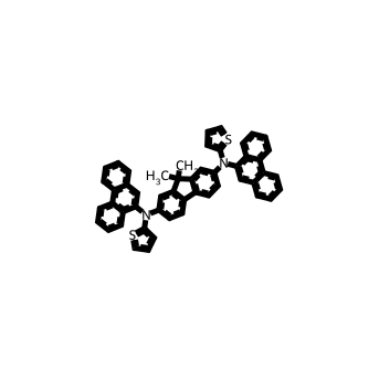 CC1(C)c2cc(N(c3cccs3)c3cc4ccccc4c4ccccc34)ccc2-c2ccc(N(c3cccs3)c3cc4ccccc4c4ccccc34)cc21